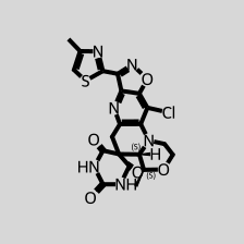 Cc1csc(-c2noc3c(Cl)c4c(nc23)CC2(C(=O)NC(=O)NC2=O)[C@H]2[C@H](C)OCCN42)n1